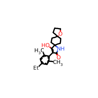 CCc1cc(C)c(C2=C(O)C3(CCC4(CCCO4)CC3)NC2=O)c(C)c1